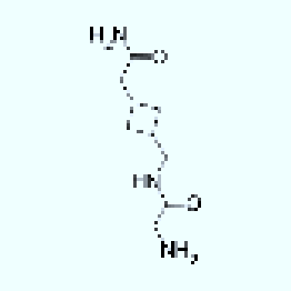 NCC(=O)NCC1CC(CC(N)=O)C1